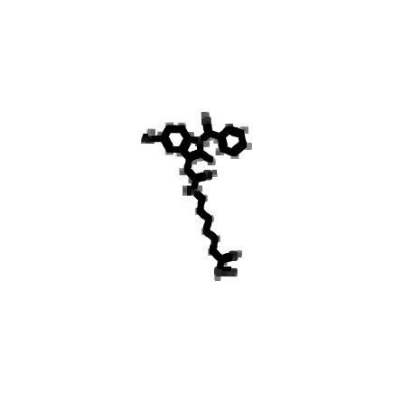 COC(=O)CCCCCCNC(=O)Cc1c(C)n(C(=O)c2ccccc2)c2ccc(C(C)=O)cc12